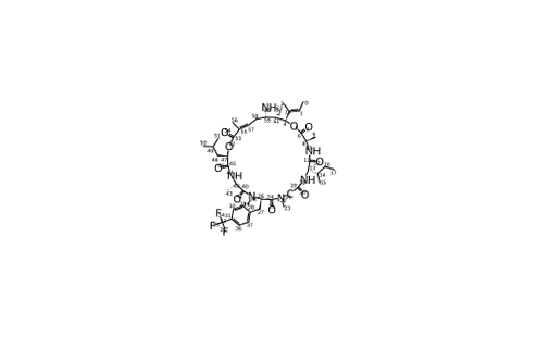 C/C=C(\C)[C@H]1OC(=O)[C@@H](C)NC(=O)[C@H](C(C)CC)NC(=O)CN(C)C(=O)[C@@H](Cc2ccc(C(F)(F)F)cc2)N(C)C(=O)[C@H](C)NC(=O)[C@@H](CC(C)C)OC(=O)/C(C)=C/C[C@H](N)[C@@H]1C